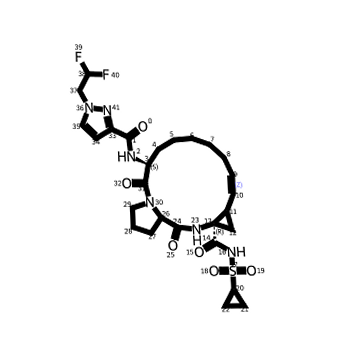 O=C(N[C@H]1CCCCC/C=C\C2C[C@@]2(C(=O)NS(=O)(=O)C2CC2)NC(=O)C2CCCN2C1=O)c1ccn(CC(F)F)n1